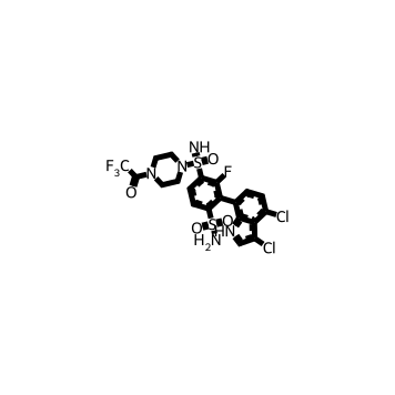 N=S(=O)(c1ccc(S(N)(=O)=O)c(-c2ccc(Cl)c3c(Cl)c[nH]c23)c1F)N1CCN(C(=O)C(F)(F)F)CC1